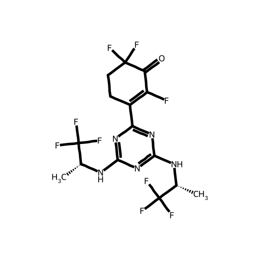 C[C@@H](Nc1nc(N[C@H](C)C(F)(F)F)nc(C2=C(F)C(=O)C(F)(F)CC2)n1)C(F)(F)F